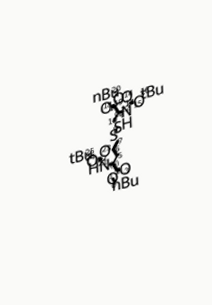 CCCCOC(=O)[C@H](CCCSSC[C@H](NC(=O)OC(C)(C)C)C(=O)OCCCC)NC(=O)OC(C)(C)C